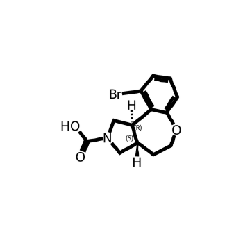 O=C(O)N1C[C@H]2CCOc3cccc(Br)c3[C@@H]2C1